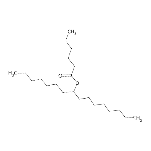 CCCCCCCCC(CCCCCCC)OC(=O)CCCCC